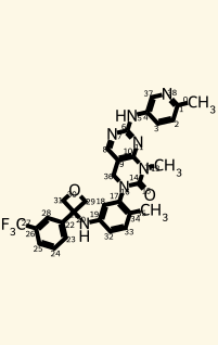 Cc1ccc(Nc2ncc3c(n2)N(C)C(=O)N(c2cc(NC4(c5cccc(C(F)(F)F)c5)COC4)ccc2C)C3)cn1